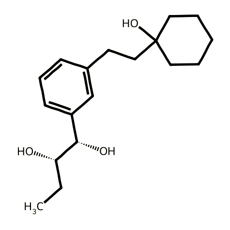 CC[C@H](O)[C@@H](O)c1cccc(CCC2(O)CCCCC2)c1